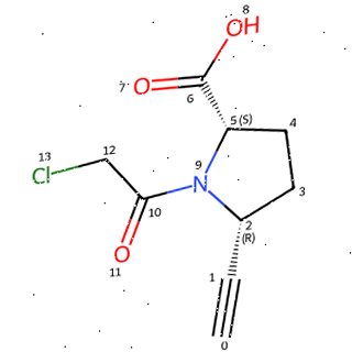 C#C[C@H]1CC[C@@H](C(=O)O)N1C(=O)CCl